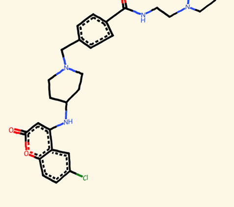 O=C(NCCN1CCCC1)c1ccc(CN2CCC(Nc3cc(=O)oc4ccc(Cl)cc34)CC2)cc1